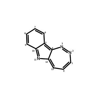 c1cnnc2c3ccccc3nc-2c1